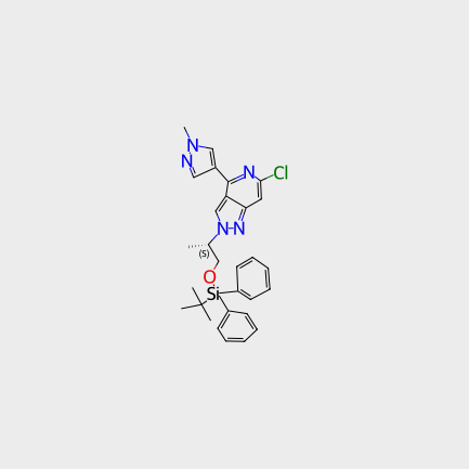 C[C@@H](CO[Si](c1ccccc1)(c1ccccc1)C(C)(C)C)n1cc2c(-c3cnn(C)c3)nc(Cl)cc2n1